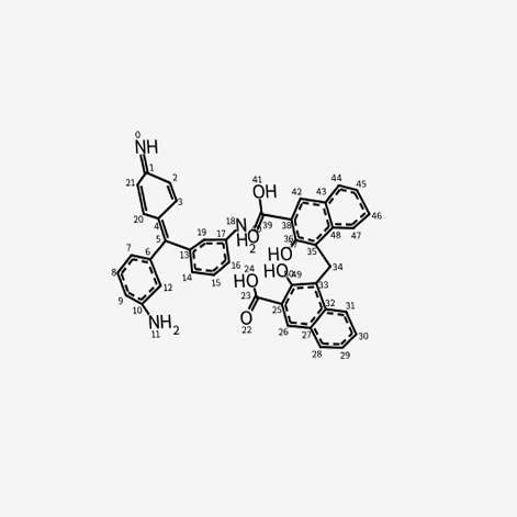 N=C1C=CC(=C(c2cccc(N)c2)c2cccc(N)c2)C=C1.O=C(O)c1cc2ccccc2c(Cc2c(O)c(C(=O)O)cc3ccccc23)c1O